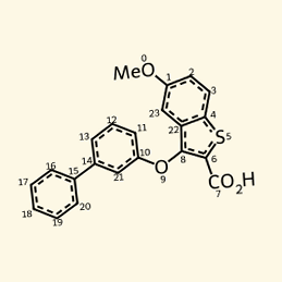 COc1ccc2sc(C(=O)O)c(Oc3cccc(-c4ccccc4)c3)c2c1